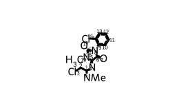 CNC(CCl)N=C1C(=O)N(c2ccccc2Cl)C(=O)N1C